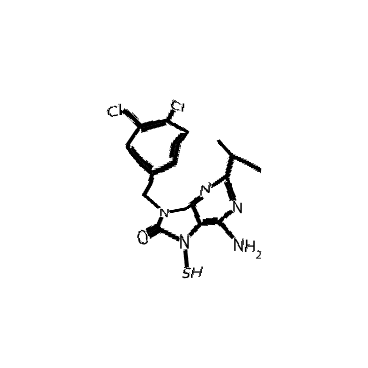 CC(C)c1nc(N)c2c(n1)n(Cc1ccc(Cl)c(Cl)c1)c(=O)n2S